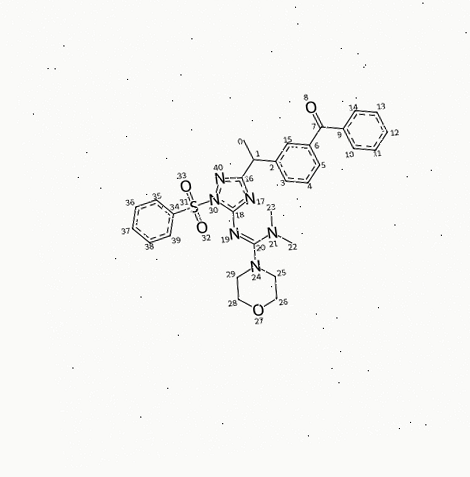 CC(c1cccc(C(=O)c2ccccc2)c1)c1nc(/N=C(\N(C)C)N2CCOCC2)n(S(=O)(=O)c2ccccc2)n1